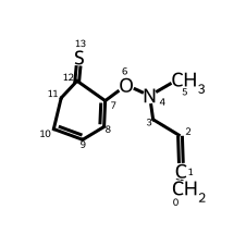 C=C=CCN(C)OC1=CC=CCC1=S